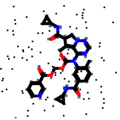 CC1=C2C(N(C(=O)OCOC(=O)c3cccnc3)c3cc(C(=O)NC4CC4)ccc3C)=NC=NN2CC1C(=O)NC1CC1